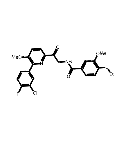 CCOc1ccc(C(=O)NCC(=O)c2ccc(OC)c(-c3ccc(F)c(Cl)c3)n2)cc1OC